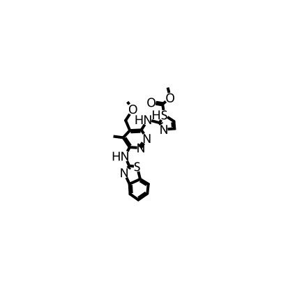 COCc1c(NC2=NC=C[SH]2C(=O)OC)nnc(Nc2nc3ccccc3s2)c1C